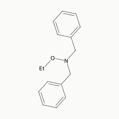 [CH2]CON(Cc1ccccc1)Cc1ccccc1